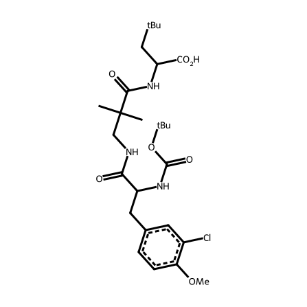 COc1ccc(CC(NC(=O)OC(C)(C)C)C(=O)NCC(C)(C)C(=O)NC(CC(C)(C)C)C(=O)O)cc1Cl